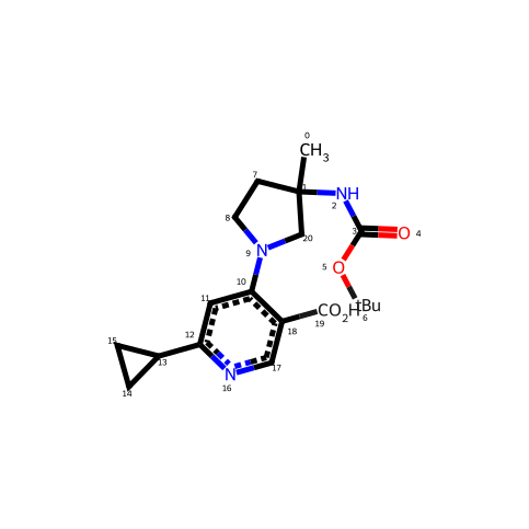 CC1(NC(=O)OC(C)(C)C)CCN(c2cc(C3CC3)ncc2C(=O)O)C1